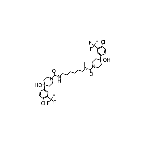 O=C(NCCCCCCNC(=O)N1CCC(O)(c2ccc(Cl)c(C(F)(F)F)c2)CC1)N1CCC(O)(c2ccc(Cl)c(C(F)(F)F)c2)CC1